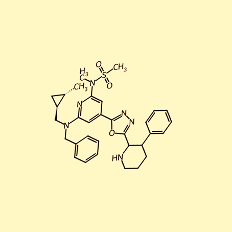 C[C@H]1C[C@@H]1CN(Cc1ccccc1)c1cc(-c2nnc(C3NCCCC3c3ccccc3)o2)cc(N(C)S(C)(=O)=O)n1